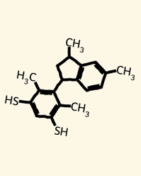 Cc1ccc2c(c1)C(C)CC2c1c(C)c(S)cc(S)c1C